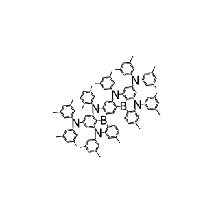 Cc1cc(C)cc(N(c2cc(C)cc(C)c2)c2cc3c4c(c2)N(c2cc(C)cc(C)c2)c2cc5c(cc2B4c2ccc(C)cc2N3c2cc(C)cc(C)c2)B2c3ccc(C)cc3N(c3cc(C)cc(C)c3)c3cc(N(c4cc(C)cc(C)c4)c4cc(C)cc(C)c4)cc(c32)N5c2cc(C)ccc2C)c1